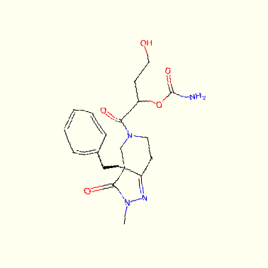 CN1N=C2CCN(C(=O)C(CCO)OC(N)=O)C[C@@]2(Cc2ccccc2)C1=O